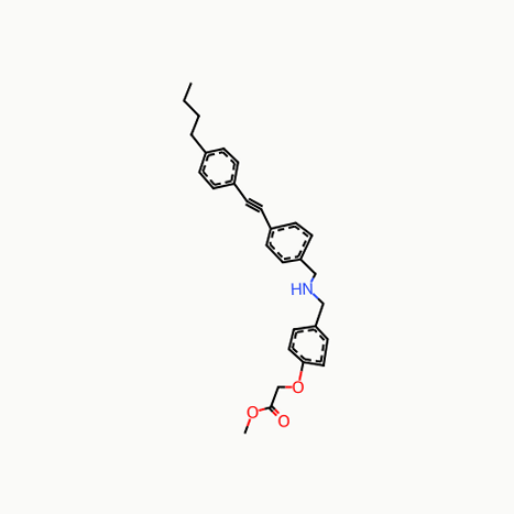 CCCCc1ccc(C#Cc2ccc(CNCc3ccc(OCC(=O)OC)cc3)cc2)cc1